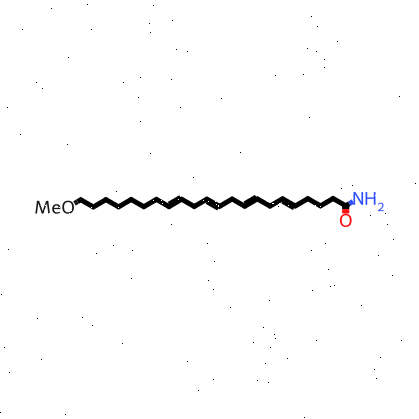 COCCCCCCCC=CCC=CCC=CCC=CCCCC(N)=O